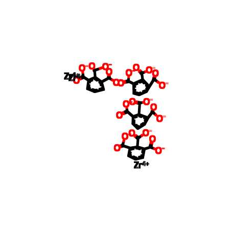 O=C([O-])c1cccc(C(=O)[O-])c1C(=O)[O-].O=C([O-])c1cccc(C(=O)[O-])c1C(=O)[O-].O=C([O-])c1cccc(C(=O)[O-])c1C(=O)[O-].O=C([O-])c1cccc(C(=O)[O-])c1C(=O)[O-].[Zr+4].[Zr+4].[Zr+4]